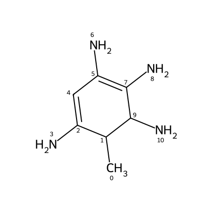 CC1C(N)=CC(N)=C(N)C1N